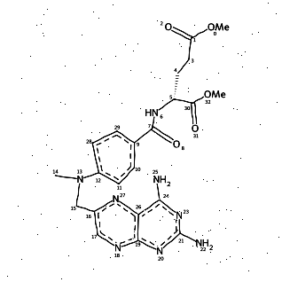 COC(=O)CC[C@@H](NC(=O)c1ccc(N(C)Cc2cnc3nc(N)nc(N)c3n2)cc1)C(=O)OC